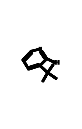 CC1(C)Nc2ncccc21